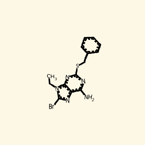 CCn1c(Br)nc2c(N)nc(SCc3ccccc3)nc21